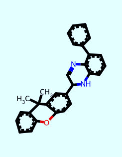 CC1(C)c2ccccc2Oc2ccc(C3C=Nc4c(cccc4-c4ccccc4)N3)cc21